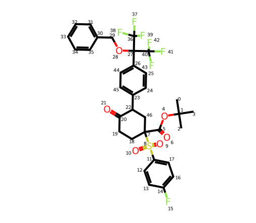 CC(C)(C)OC(=O)C1(S(=O)(=O)c2ccc(F)cc2)CCC(=O)C(c2ccc(C(OCc3ccccc3)(C(F)(F)F)C(F)(F)F)cc2)C1